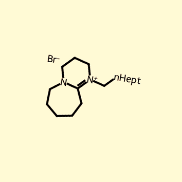 CCCCCCCC[N+]1=C2CCCCCN2CCC1.[Br-]